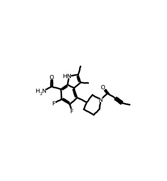 CC#CC(=O)N1CCCC(c2c(F)c(F)c(C(N)=O)c3[nH]c(C)c(C)c23)C1